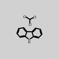 ClC(Cl)Cl.c1ccc2c(c1)[nH]c1ccccc12